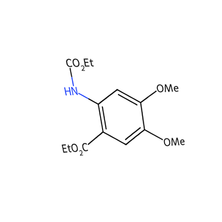 CCOC(=O)Nc1cc(OC)c(OC)cc1C(=O)OCC